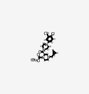 CC(C)(C)OC(=O)N1CCN(CC2CC2)C[C@@H]1C(=O)N1CCN(c2ccc(Cl)c(Cl)c2)CC1